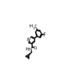 Cc1cc(F)cc(-c2cncc(C(=O)NCC3CC3)c2)c1